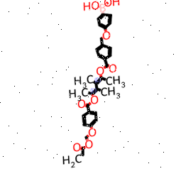 C=CC(=O)OCOc1ccc(C(=O)O/C(C)=C(C)/C(C)=C(\C)OC(=O)c2ccc(COc3ccc(B(O)O)cc3)cc2)cc1